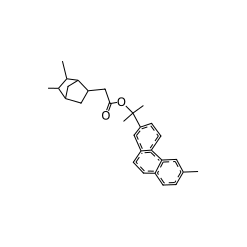 Cc1ccc2ccc3cc(C(C)(C)OC(=O)CC4CC5CC4C(C)C5C)ccc3c2c1